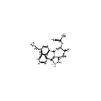 COc1ccc(C2SC(CC(=O)O)C(=O)Nc3n[nH]c(-c4ccccc4)c32)cc1